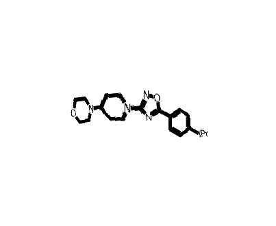 CC(C)c1ccc(-c2nc(N3CCC(N4CCOCC4)CC3)no2)cc1